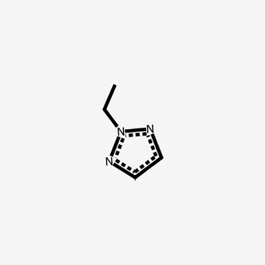 CCn1n[c]cn1